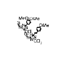 COc1ccc(-c2nc(N=C=O)nc(C(Cl)(Cl)Cl)n2)cc1OC.COc1ccc(C=Cc2nc(N=C=O)nc(C(Cl)(Cl)Cl)n2)cc1